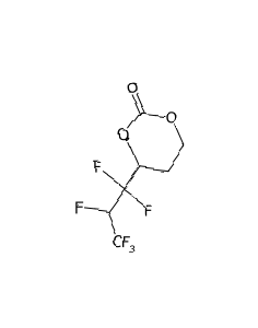 O=C1OCCC(C(F)(F)C(F)C(F)(F)F)O1